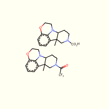 CC12CN(C(=O)C(F)(F)F)CCC1N1CCOc3cccc2c31.CC12CN(C(=O)O)CCC1N1CCOc3cccc2c31